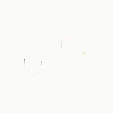 O=C(O)C(CS)S(=O)(=O)c1c[c]ccc1